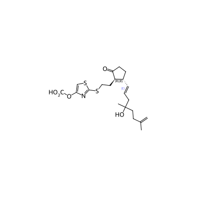 C=C(C)CCC(C)(O)C/C=C/[C@H]1CCC(=O)[C@@H]1CCSc1nc(OC(=O)O)cs1